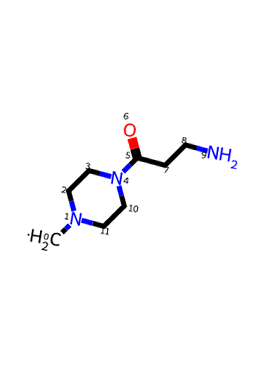 [CH2]N1CCN(C(=O)CCN)CC1